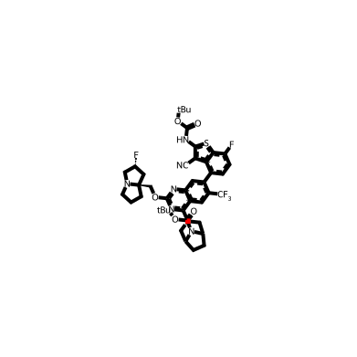 CC(C)(C)OC(=O)Nc1sc2c(F)ccc(-c3cc4nc(OC[C@@]56CCCN5C[C@H](F)C6)nc(N5CC6CCC(C5)N6C(=O)OC(C)(C)C)c4cc3C(F)(F)F)c2c1C#N